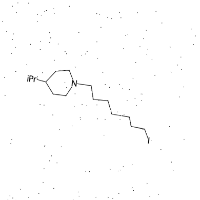 CC(C)C1CCN(CCCCCCCI)CC1